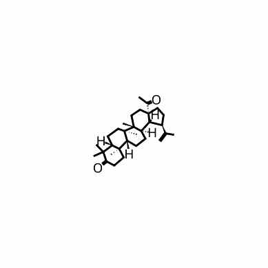 C=C(C)[C@@H]1CC[C@]2(C(C)=O)CC[C@]3(C)[C@H](CC[C@@H]4[C@@]5(C)CCC(=O)C(C)(C)[C@@H]5CC[C@]43C)[C@@H]12